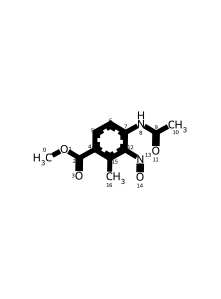 COC(=O)c1ccc(NC(C)=O)c(N=O)c1C